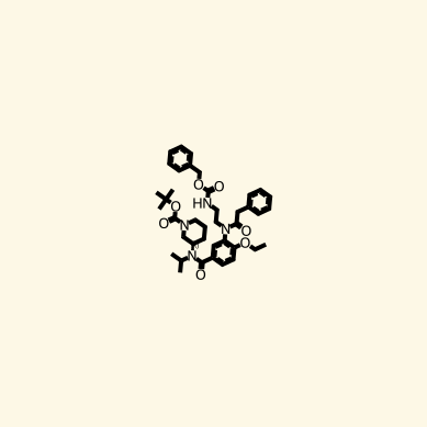 CCOc1ccc(C(=O)N(C(C)C)[C@@H]2CCCN(C(=O)OC(C)(C)C)C2)cc1N(CCNC(=O)OCc1ccccc1)C(=O)Cc1ccccc1